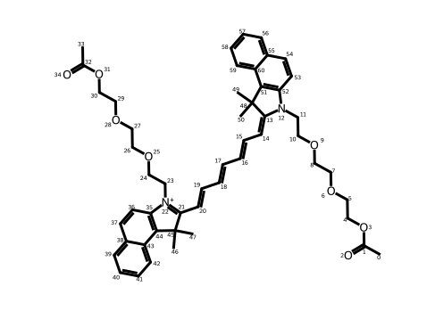 CC(=O)OCCOCCOCCN1/C(=C/C=C/C=C/C=C/C2=[N+](CCOCCOCCOC(C)=O)c3ccc4ccccc4c3C2(C)C)C(C)(C)c2c1ccc1ccccc21